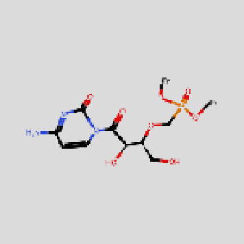 CC(C)OP(=O)(CO[C@@H](CO)[C@@H](O)C(=O)n1ccc(N)nc1=O)OC(C)C